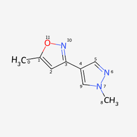 Cc1cc(-c2cnn(C)c2)no1